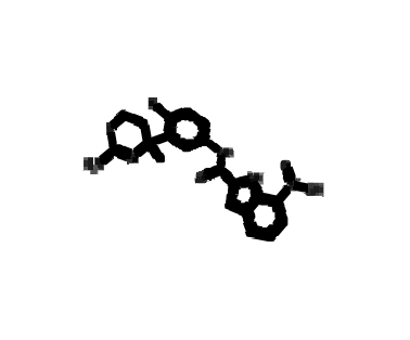 CC1(c2cc(NC(=O)c3cc4cccc([N+](=O)O)c4[nH]3)ccc2F)CCSC(N)=N1